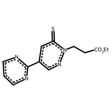 CCOC(=O)CCn1ncc(-c2ncccn2)cc1=S